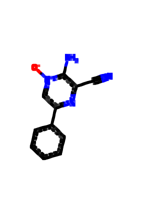 N#Cc1nc(-c2ccccc2)c[n+]([O-])c1N